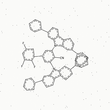 N#Cc1c(-n2c3cc(-c4ccccc4)ccc3c3ccc(-c4ccccc4)cc32)cc(-c2cc(F)cc(F)c2F)cc1-n1c2cc(-c3ccccc3)ccc2c2ccc(-c3ccccc3)cc21